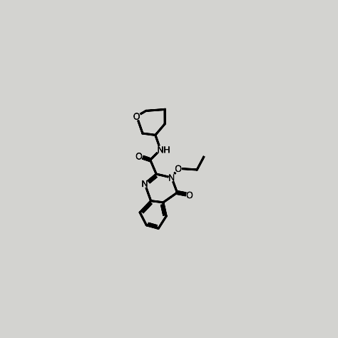 CCOn1c(C(=O)NC2CCCOC2)nc2ccccc2c1=O